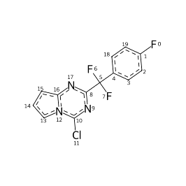 Fc1ccc(C(F)(F)c2nc(Cl)n3cccc3n2)cc1